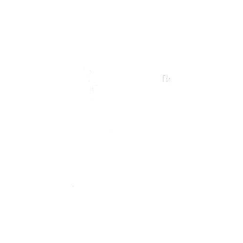 CCCC1=Cc2c(Br)cccc2C1